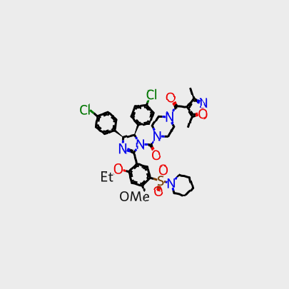 CCOc1cc(OC)c(S(=O)(=O)N2CCCCC2)cc1C1=N[C@@H](c2ccc(Cl)cc2)[C@@H](c2ccc(Cl)cc2)N1C(=O)N1CCN(C(=O)c2c(C)noc2C)CC1